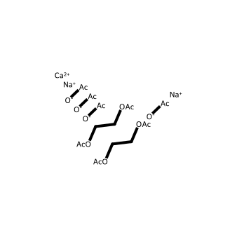 CC(=O)OCCOC(C)=O.CC(=O)OCCOC(C)=O.CC(=O)[O-].CC(=O)[O-].CC(=O)[O-].CC(=O)[O-].[Ca+2].[Na+].[Na+]